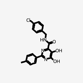 Cc1ccc(-c2nc(O)c(O)c(C(=O)NCc3ccc(Cl)cc3)n2)cc1